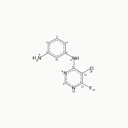 Nc1cccc(Nc2ncnc(F)c2Cl)c1